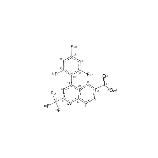 O=C(O)c1ccc2nc(C(F)(F)F)cc(-c3c(F)cc(F)cc3F)c2c1